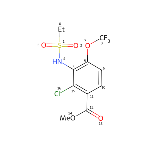 CCS(=O)(=O)Nc1c(OC(F)(F)F)ccc(C(=O)OC)c1Cl